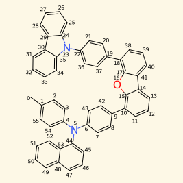 Cc1ccc(N(c2ccc(-c3cccc4c3oc3c(-c5ccc(-n6c7ccccc7c7ccccc76)cc5)cccc34)cc2)c2cccc3ccccc23)cc1